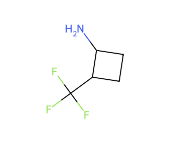 NC1CCC1C(F)(F)F